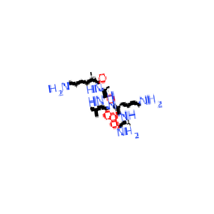 CC(C)[C@H](NC(=O)[C@H](C)NC(=O)[C@@H](C)CCCCN)C(=O)N[C@@H](CCCCN)C(=O)N[C@@H](C)C(N)=O